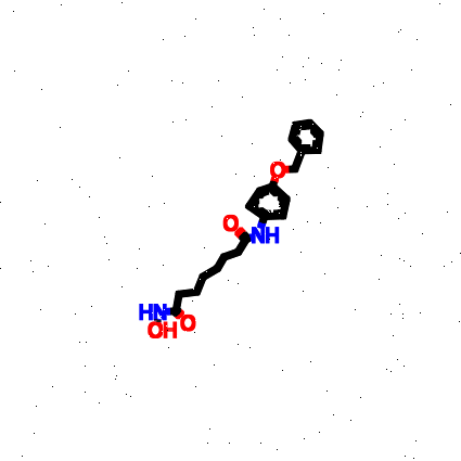 O=C(CCCCCCC(=O)Nc1ccc(OCc2ccccc2)cc1)NO